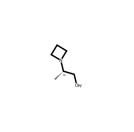 C[C@@H](CO)N1CCC1